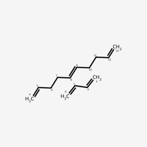 C=CC=C.C=CCCC=CCCC=C